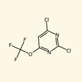 FC(F)(F)Oc1cc(Cl)nc(Cl)n1